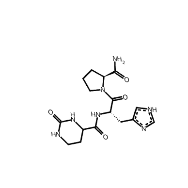 NC(=O)[C@@H]1CCCN1C(=O)[C@H](Cc1c[nH]cn1)NC(=O)C1CCNC(=O)N1